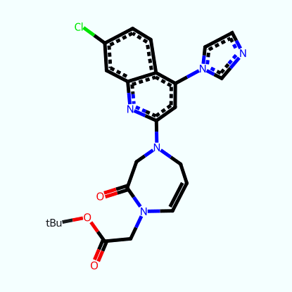 CC(C)(C)OC(=O)CN1C=CCN(c2cc(-n3ccnc3)c3ccc(Cl)cc3n2)CC1=O